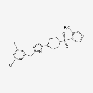 O=S(=O)(c1ccccc1C(F)(F)F)C1CCN(c2nc(Cc3cc(F)cc(Cl)c3)cs2)CC1